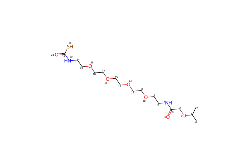 CC(C)OCC(=O)NCCOCCOCCOCCOCCNC(=O)S